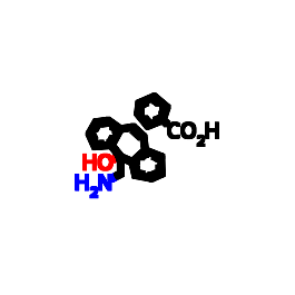 NCC1(O)c2ccccc2C=Cc2ccccc21.O=C(O)c1ccccc1